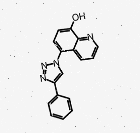 Oc1ccc(-n2cc(-c3ccccc3)nn2)c2cccnc12